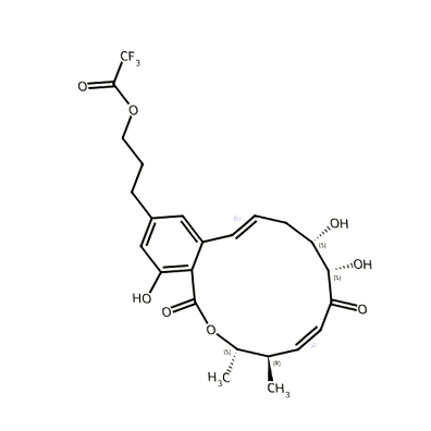 C[C@@H]1/C=C\C(=O)[C@@H](O)[C@@H](O)C/C=C/c2cc(CCCOC(=O)C(F)(F)F)cc(O)c2C(=O)O[C@H]1C